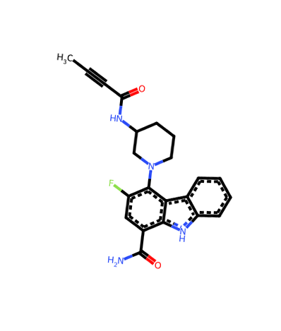 CC#CC(=O)NC1CCCN(c2c(F)cc(C(N)=O)c3[nH]c4ccccc4c23)C1